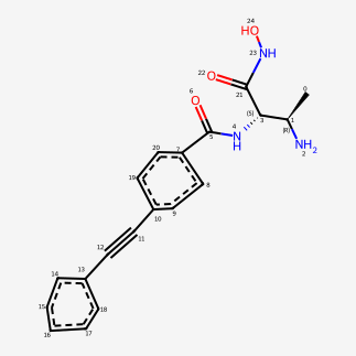 C[C@@H](N)[C@H](NC(=O)c1ccc(C#Cc2ccccc2)cc1)C(=O)NO